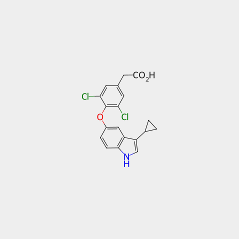 O=C(O)Cc1cc(Cl)c(Oc2ccc3[nH]cc(C4CC4)c3c2)c(Cl)c1